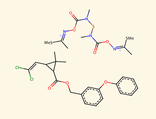 CC1(C)C(C=C(Cl)Cl)C1C(=O)OCc1cccc(Oc2ccccc2)c1.CS/C(C)=N\OC(=O)N(C)SN(C)C(=O)O/N=C(\C)SC